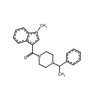 CC(c1ccccc1)N1CCN(C(=O)c2cn(C)c3ccccc23)CC1